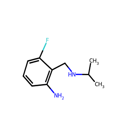 CC(C)NCc1c(N)cccc1F